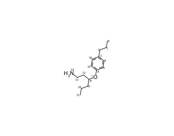 CCCc1ccc(OC(CCC)CCN)cc1